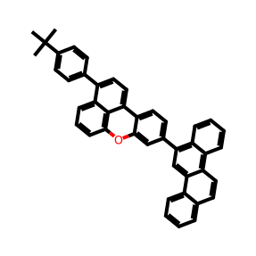 CC(C)(C)c1ccc(-c2ccc3c4c(cccc24)Oc2cc(-c4cc5c6ccccc6ccc5c5ccccc45)ccc2-3)cc1